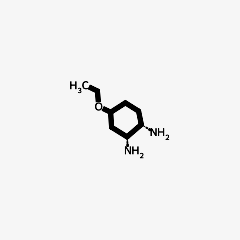 CCOC1CC[C@H](N)[C@H](N)C1